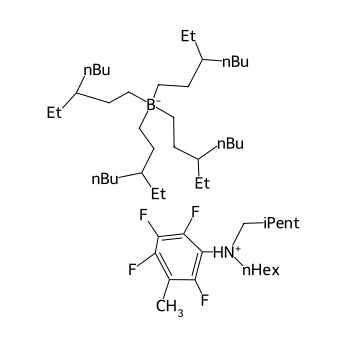 CCCCC(CC)CC[B-](CCC(CC)CCCC)(CCC(CC)CCCC)CCC(CC)CCCC.CCCCCC[NH+](CC(C)CCC)c1c(F)c(C)c(F)c(F)c1F